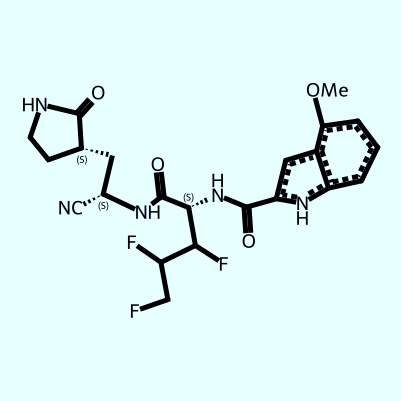 COc1cccc2[nH]c(C(=O)N[C@@H](C(=O)N[C@H](C#N)C[C@@H]3CCNC3=O)C(F)C(F)CF)cc12